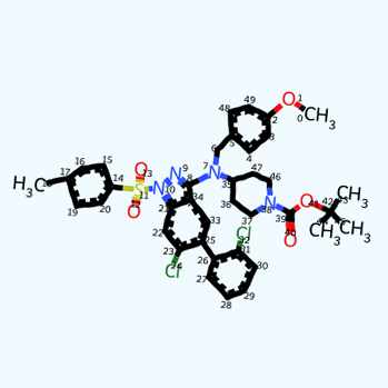 COc1ccc(CN(c2nn(S(=O)(=O)c3ccc(C)cc3)c3cc(Cl)c(-c4ccccc4Cl)cc23)C2CCN(C(=O)OC(C)(C)C)CC2)cc1